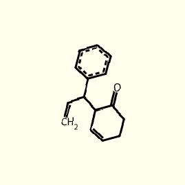 C=CC(c1ccccc1)C1C=CCCC1=O